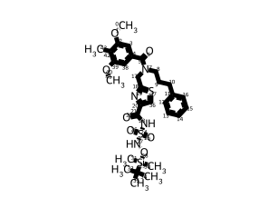 COc1cc(C(=O)N(CCCc2ccccc2)Cc2nc(C(=O)NS(=O)(=O)NO[Si](C)(C)C(C)(C)C)cs2)cc(OC)c1C